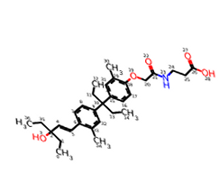 CCC(O)(/C=C/c1ccc(C(CC)(CC)c2ccc(OCC(=O)NCCC(=O)O)c(C)c2)cc1C)CC